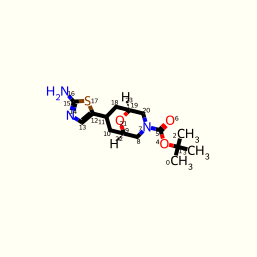 CC(C)(C)OC(=O)N1C[C@H]2CC(c3cnc(N)s3)C[C@@H](C1)O2